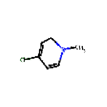 CN1C=CC(Cl)=CC1